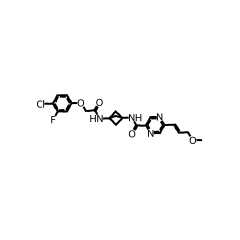 COCC=Cc1cnc(C(=O)NC23CC(NC(=O)COc4ccc(Cl)c(F)c4)(C2)C3)cn1